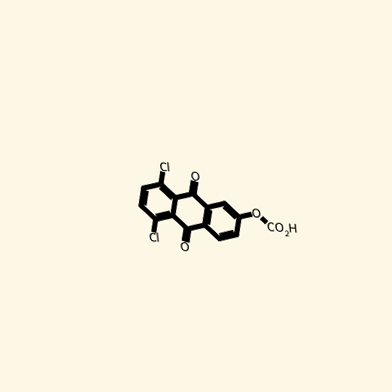 O=C(O)Oc1ccc2c(c1)C(=O)c1c(Cl)ccc(Cl)c1C2=O